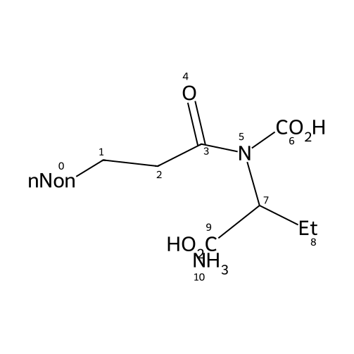 CCCCCCCCCCCC(=O)N(C(=O)O)C(CC)C(=O)O.N